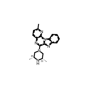 Cc1ccc2nc(N3C[C@@H](C)N[C@@H](C)C3)c3nc4ccccc4n3c2n1